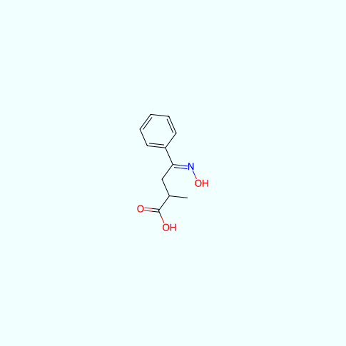 CC(CC(=NO)c1ccccc1)C(=O)O